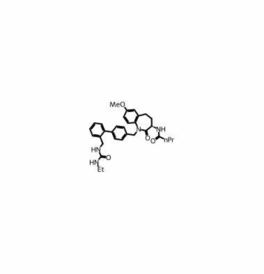 CCCC(=O)N[C@@H]1CCc2cc(OC)ccc2N(Cc2ccc(-c3ccccc3CNC(=O)NCC)cc2)C1=O